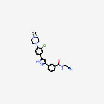 CN1CCN(c2ccc(-c3cc(-c4cccc(C(=O)NCC#N)c4)n[nH]3)cc2Cl)CC1